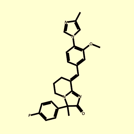 COc1cc(/C=C2\CCCN3C2=NC(=O)C3(C)c2ccc(F)cc2)ccc1-n1cnc(C)c1